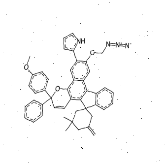 C=C1CC(C)(C)CC2(C1)c1ccccc1-c1c2c2c(c3cc(-c4ccc[nH]4)c(OCN=[N+]=[N-])cc13)OC(c1ccccc1)(c1ccc(OC)cc1)C=C2